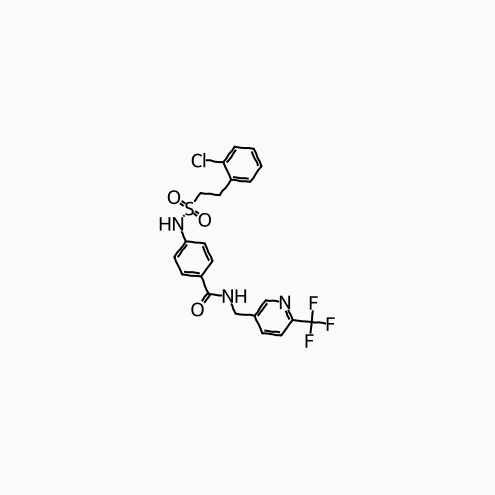 O=C(NCc1ccc(C(F)(F)F)nc1)c1ccc(NS(=O)(=O)CCc2ccccc2Cl)cc1